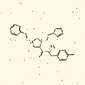 N[C@H](Cc1ccc(F)cc1)C(=O)N1C[C@H](OCc2ccccc2)C[C@@H]1CCn1ccnc1